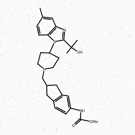 COC(=O)Nc1ccc2c(c1)CC(CN1CCC(n3c(C(C)(C)O)nc4cc(C)ccc43)CC1)C2